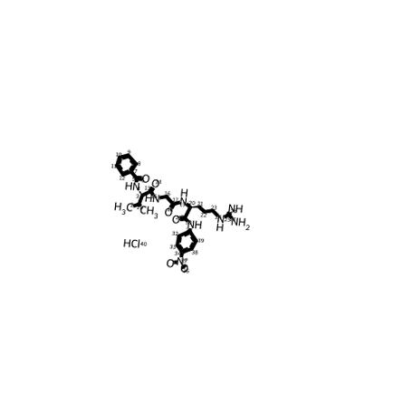 CC(C)[C@H](NC(=O)c1ccccc1)C(=O)NCC(=O)N[C@@H](CCCNC(=N)N)C(=O)Nc1ccc([N+](=O)[O-])cc1.Cl